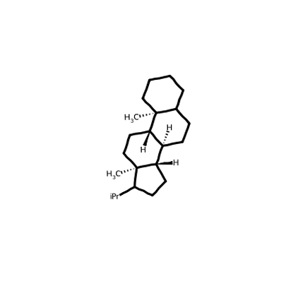 CC(C)C1CC[C@H]2[C@@H]3CCC4CCCC[C@]4(C)[C@H]3CC[C@]12C